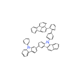 c1ccc(-n2c3ccccc3c3ccc(-c4ccc5c(c4)c4ccc6ccccc6c4n5-c4ccc(-c5ccccc5-c5ccc6c7c(cccc57)-c5ccccc5-6)cc4)cc32)cc1